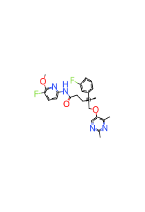 COc1nc(NC(=O)CC[C@@](C)(COc2cnc(C)nc2C)c2cccc(F)c2)ccc1F